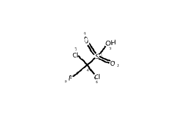 O=S(=O)(O)C(F)(Cl)Cl